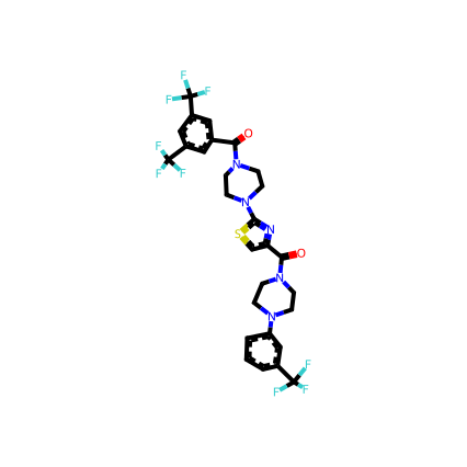 O=C(c1cc(C(F)(F)F)cc(C(F)(F)F)c1)N1CCN(c2nc(C(=O)N3CCN(c4cccc(C(F)(F)F)c4)CC3)cs2)CC1